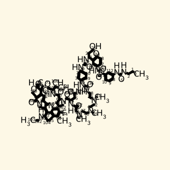 CCCNC(=O)Nc1cccc(S(=O)(=O)Nc2cccc(C(CC(=O)O)NC(=O)Nc3ccc(NC(=O)NCCN(C)CCN(C)CCN(C)CC(=O)NC(CC(N)=O)C(=O)N4CCCC4C(=O)NC(C(=O)OC4(CC)C(=O)OCc5c4cc4n(c5=O)Cc5c-4nc4cc(F)c(C)c6c4c5C(NCC)CC6)C(C)C)cc3)c2)c1